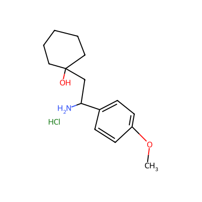 COc1ccc(C(N)CC2(O)CCCCC2)cc1.Cl